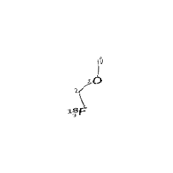 COC[18F]